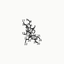 C=[C](O[C](=C)[Sn]([CH2]CCC)([CH2]CCC)[CH2]CCC)[Sn]([CH2]CCC)([CH2]CCC)[CH2]CCC